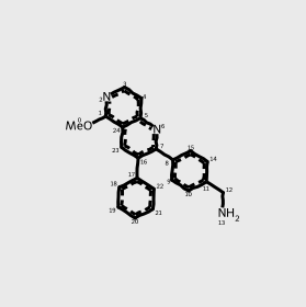 COc1nccc2nc(-c3ccc(CN)cc3)c(-c3ccccc3)cc12